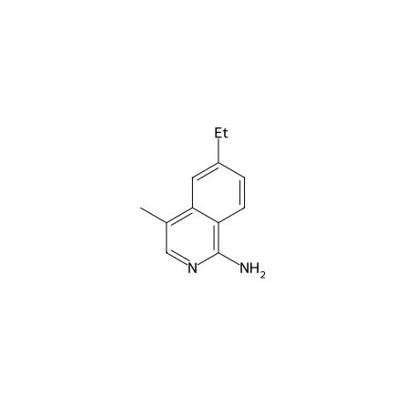 CCc1ccc2c(N)ncc(C)c2c1